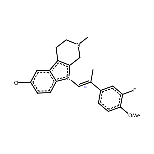 COc1ccc(/C(C)=C/n2c3c(c4cc(Cl)ccc42)CCN(C)C3)cc1F